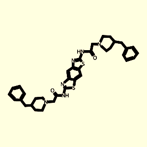 O=C(CN1CCC(Cc2ccccc2)CC1)Nc1nc2cc3nc(NC(=O)CN4CCC(Cc5ccccc5)CC4)sc3cc2s1